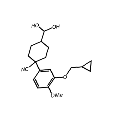 COc1ccc(C2(C#N)CCC(C(O)O)CC2)cc1OCC1CC1